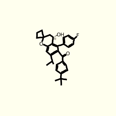 CC(C)c1cc2c(c(-c3ccc(F)cc3)c1C(=O)c1ccc(C(C)(C)C)cc1)[C@@H](O)CC1(CCC1)O2